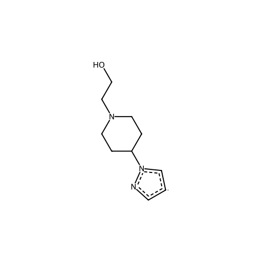 OCCN1CCC(n2c[c]cn2)CC1